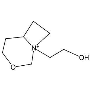 OCC[N+]12CCC1CCOC2